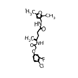 C=C(CCC(=O)NCc1cc(C)oc1C)NC(=O)COc1ccc(Cl)c(F)c1